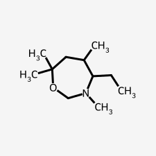 CCC1C(C)CC(C)(C)OCN1C